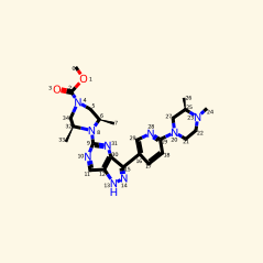 COC(=O)N1C[C@@H](C)N(c2ncc3[nH]nc(-c4ccc(N5CCN(C)[C@H](C)C5)nc4)c3n2)[C@@H](C)C1